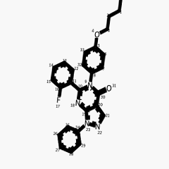 CCCCOc1ccc(-n2c(-c3ccccc3F)nc3c(cnn3-c3ccccc3)c2=O)cc1